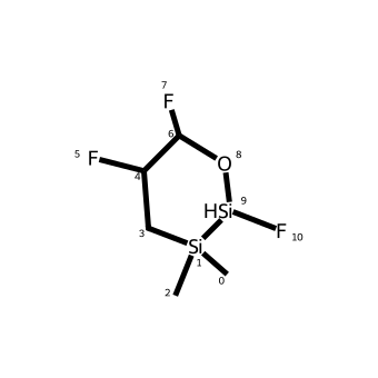 C[Si]1(C)CC(F)C(F)O[SiH]1F